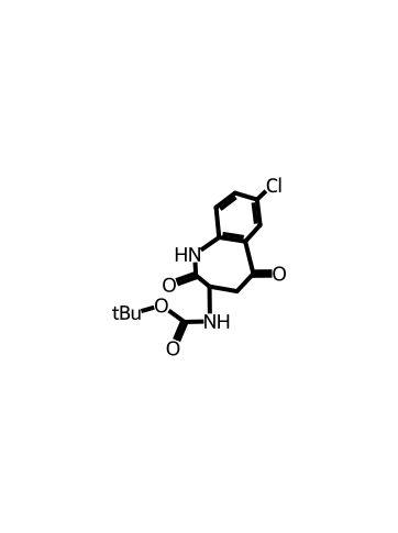 CC(C)(C)OC(=O)NC1CC(=O)c2cc(Cl)ccc2NC1=O